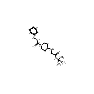 CC(C)(C)OC(=O)CNC1CCN(C(=O)OCc2ccccc2)CC1